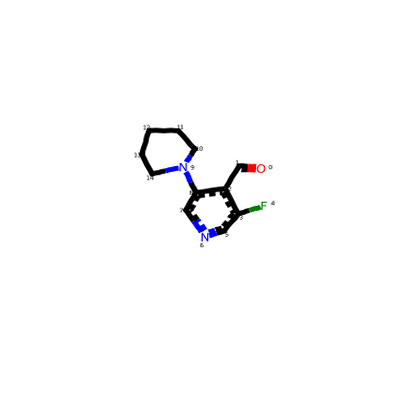 O=Cc1c(F)cncc1N1CCCCC1